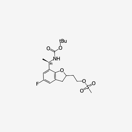 C[C@@H](NC(=O)OC(C)(C)C)c1cc(F)cc2c1OC(CCOS(C)(=O)=O)C2